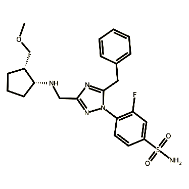 COC[C@H]1CCC[C@H]1NCc1nc(Cc2ccccc2)n(-c2ccc(S(N)(=O)=O)cc2F)n1